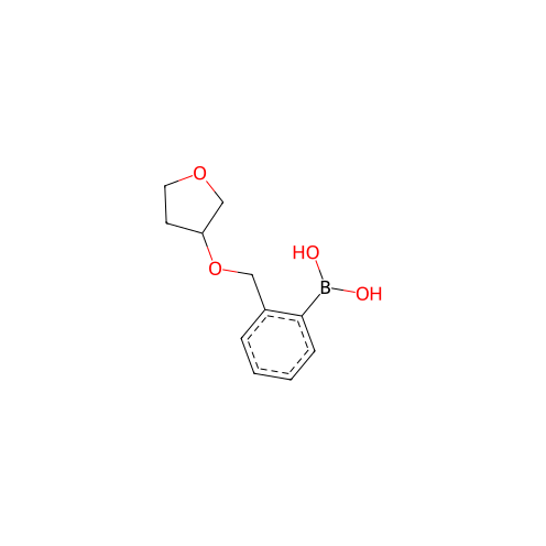 OB(O)c1ccccc1COC1CCOC1